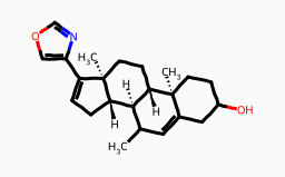 CC1C=C2CC(O)CC[C@]2(C)[C@H]2CC[C@]3(C)C(c4cocn4)=CC[C@H]3[C@H]12